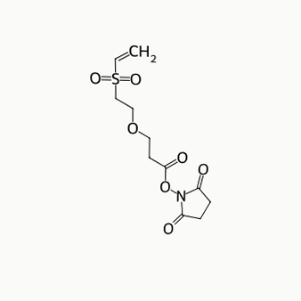 C=CS(=O)(=O)CCOCCC(=O)ON1C(=O)CCC1=O